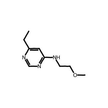 CCc1cc(NCCOC)ncn1